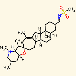 CC1=C2C[C@H]3[C@@H](CC[C@@H]4CC(/C=N/S(C)(=O)=O)CC[C@@]43C)[C@@H]2CC[C@@]2(C1)O[C@@H]1C[C@H](C)CN(C)[C@H]1[C@H]2C